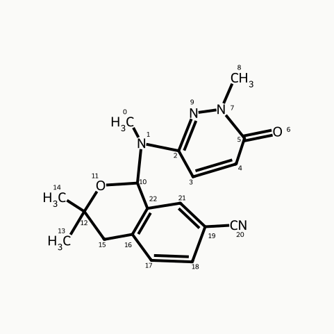 CN(c1ccc(=O)n(C)n1)C1OC(C)(C)Cc2ccc(C#N)cc21